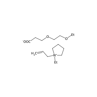 C=CC[N+]1(CC)CCCC1.CCOCCOCCC(=O)[O-]